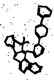 CC1(C)c2ccccc2-c2nc3ccc4ccccc4c3c(-c3cccc(-c4ccc(-c5cccnc5)cc4)c3)c21